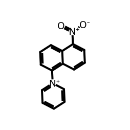 O=[N+]([O-])c1cccc2c(-[n+]3ccccc3)cccc12